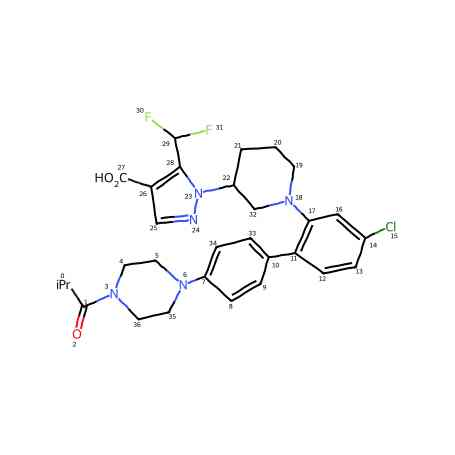 CC(C)C(=O)N1CCN(c2ccc(-c3ccc(Cl)cc3N3CCCC(n4ncc(C(=O)O)c4C(F)F)C3)cc2)CC1